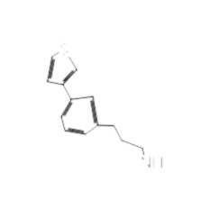 NCCCc1cccc(-c2ccsc2)c1